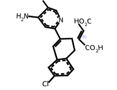 Cc1cnc(C2=Cc3cc(Cl)ccc3CC2)cc1N.O=C(O)/C=C/C(=O)O